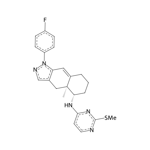 CSc1nccc(N[C@H]2CCCC3=Cc4c(cnn4-c4ccc(F)cc4)C[C@@]32C)n1